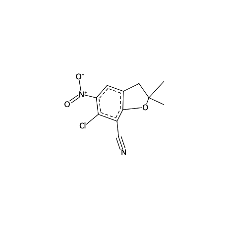 CC1(C)Cc2cc([N+](=O)[O-])c(Cl)c(C#N)c2O1